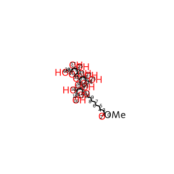 COC(=O)CCCCCCCCO[C@H]1O[C@H](CO)[C@@H](O)[C@H](O[C@H]2O[C@H](CO)[C@@H](O)[C@H](O)[C@H]2O[C@@H]2C[C@H](O)[C@@H](O)[C@@H](CO)O2)[C@H]1O